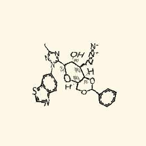 Cc1nc([C@@H]2O[C@@H]3COC(c4ccccc4)O[C@@H]3[C@H](N=[N+]=[N-])[C@H]2O)n(-c2ccc3ncsc3c2)n1